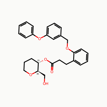 O=C(CCc1ccccc1OCc1cccc(Oc2ccccc2)c1)O[C@H]1CCCO[C@@H]1CO